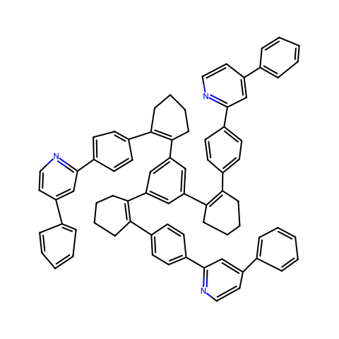 c1ccc(-c2ccnc(-c3ccc(C4=C(c5cc(C6=C(c7ccc(-c8cc(-c9ccccc9)ccn8)cc7)CCCC6)cc(C6=C(c7ccc(-c8cc(-c9ccccc9)ccn8)cc7)CCCC6)c5)CCCC4)cc3)c2)cc1